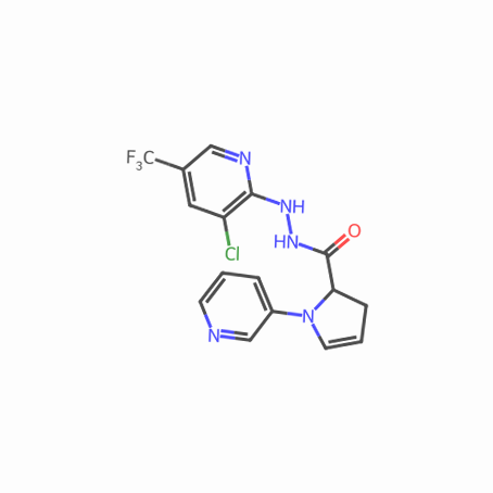 O=C(NNc1ncc(C(F)(F)F)cc1Cl)C1CC=CN1c1cccnc1